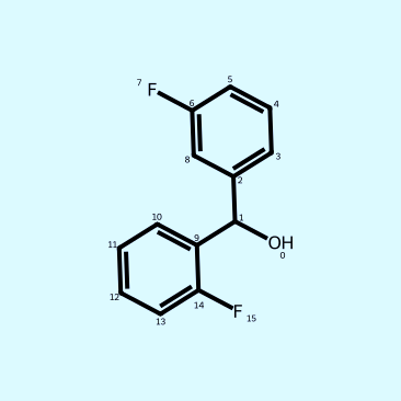 OC(c1cccc(F)c1)c1ccccc1F